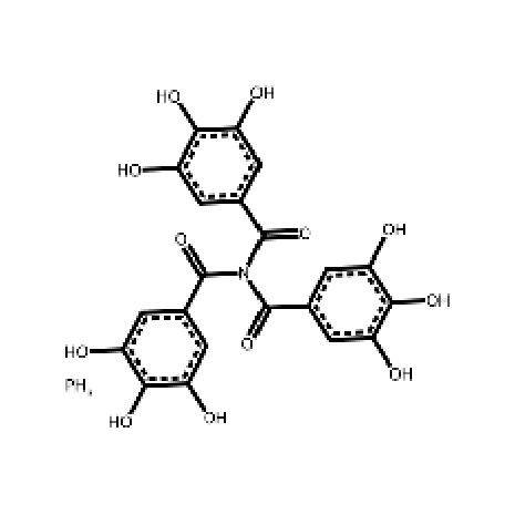 O=C(c1cc(O)c(O)c(O)c1)N(C(=O)c1cc(O)c(O)c(O)c1)C(=O)c1cc(O)c(O)c(O)c1.P